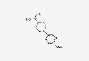 CSc1ccc(N2CCC([C@H](C)O)CC2)cn1